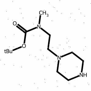 CN(CCN1CCNCC1)C(=O)OC(C)(C)C